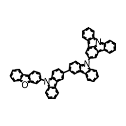 c1ccc2c(c1)oc1cc(-n3c4ccccc4c4cc(-c5ccc6c(c5)c5ccccc5n6-c5cc6c7ccccc7n7c8ccccc8c(c5)c67)ccc43)ccc12